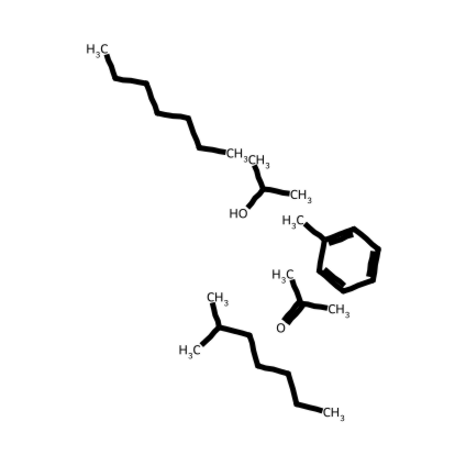 CC(C)=O.CC(C)O.CCCCCC(C)C.CCCCCCC.Cc1ccccc1